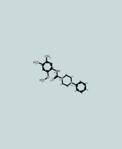 COc1cc(C)c(C)cc1NC(=O)N1CCN(c2ccccc2)CC1